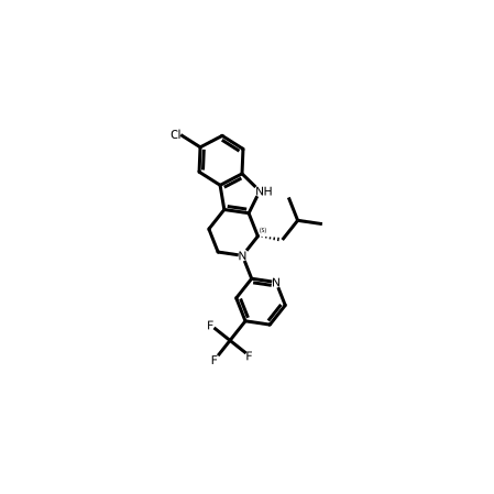 CC(C)C[C@H]1c2[nH]c3ccc(Cl)cc3c2CCN1c1cc(C(F)(F)F)ccn1